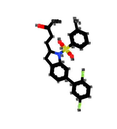 COC(=O)CCC1Cc2ccc(-c3cc(F)ccc3F)cc2N1S(=O)(=O)c1cccc(C(F)(F)F)c1